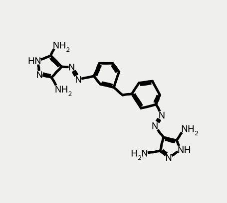 Nc1n[nH]c(N)c1N=Nc1cccc(Cc2cccc(N=Nc3c(N)n[nH]c3N)c2)c1